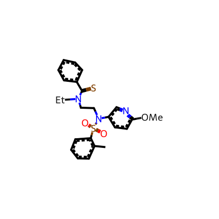 CCN(CCN(c1ccc(OC)nc1)S(=O)(=O)c1ccccc1C)C(=S)c1ccccc1